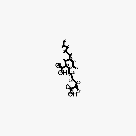 CCCCCC(CCC)CC(CCCCCC(C)C(=O)O)C(=O)O